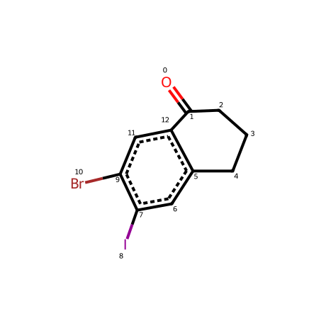 O=C1CCCc2cc(I)c(Br)cc21